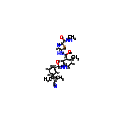 CNC(=O)c1ncc(NC(=O)c2cc(NC(=O)c3cccc(C(C)(C)C#N)c3)ccc2C)s1